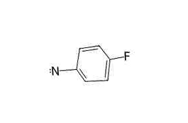 [N]c1ccc(F)cc1